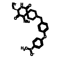 CCCCN1C(=O)[C@H](CC(C)C)NC(=O)C12CCN(Cc1ccc(Oc3ccc([S+](C)[O-])cc3)cc1)CC2